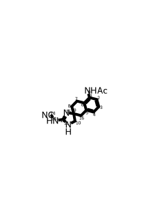 CC(=O)Nc1cccc2c1CCC1(CNC(NC#N)=N1)C2